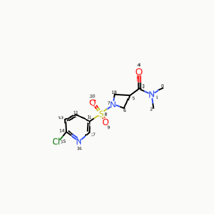 CN(C)C(=O)C1CN(S(=O)(=O)c2ccc(Cl)nc2)C1